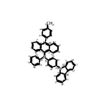 Cc1ccc(-c2c3ccccc3c(N(c3ccccc3)c3ccc(-n4c5ccccc5c5ccccc54)cc3)c3ccccc23)cc1